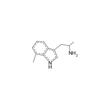 Cc1cccc2c(CC(C)N)c[nH]c12